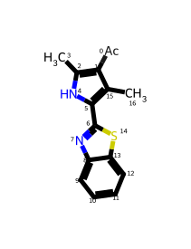 CC(=O)c1c(C)[nH]c(-c2nc3ccccc3s2)c1C